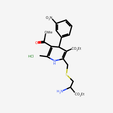 CCOC(=O)C1=C(CSCC(N)C(=O)OCC)NC(C)=C(C(=O)OC)C1c1cccc([N+](=O)[O-])c1.Cl